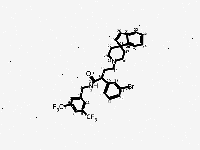 O=C(NCc1cc(C(F)(F)F)cc(C(F)(F)F)c1)C(CCN1CCC2(C=Cc3ccccc32)CC1)c1cccc(Br)c1